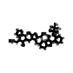 CCNC(=O)/C(=C/c1c(Cl)nc(CC)n1Cc1ccc2oc(-c3ccccc3NS(=O)(=O)C(F)(F)F)c(Br)c2c1)Cc1cccs1